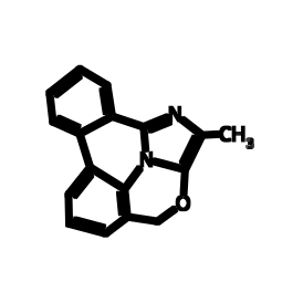 Cc1nc2c3ccccc3c3cccc4c3n2c1OC4